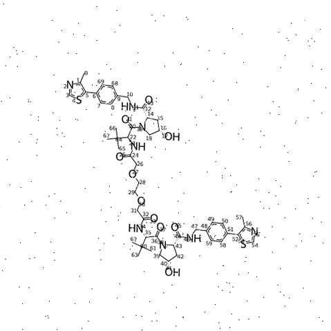 Cc1ncsc1-c1ccc(CNC(=O)[C@@H]2C[C@H](O)CN2C(=O)[C@@H](NC(=O)COCCOCC(=O)N[C@H](C(=O)N2C[C@@H](O)C[C@H]2C(=O)NCc2ccc(-c3scnc3C)cc2)C(C)(C)C)C(C)(C)C)cc1